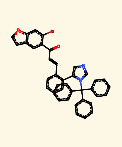 O=C(C=Cc1ccccc1-c1cncn1C(c1ccccc1)(c1ccccc1)c1ccccc1)c1cc2ccoc2cc1Br